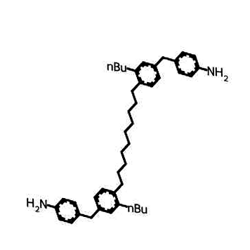 CCCCc1cc(Cc2ccc(N)cc2)ccc1CCCCCCCCCCc1ccc(Cc2ccc(N)cc2)cc1CCCC